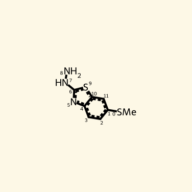 CSc1ccc2nc(NN)sc2c1